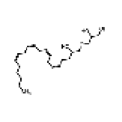 CCCCC/C=C\C/C=C\C/C=C\C/C=C\CCC(O)COCC(O)CO